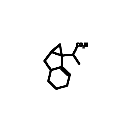 CC(C(=O)O)C12CC1CC1CCCC=C12